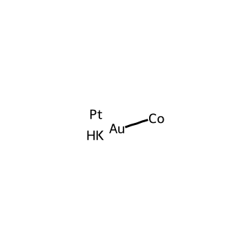 [Co][Au].[KH].[Pt]